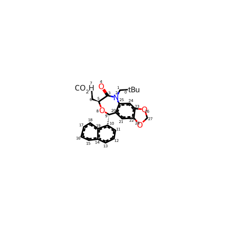 CC(C)(C)CN1C(=O)[C@H](CC(=O)O)O[C@@H](c2cccc3ccccc23)c2cc3c(cc21)OCO3